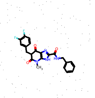 CN1C(=O)C(Cc2ccc(F)c(F)c2)C(=O)c2nc(C(=O)NCc3ccccc3)[nH]c21